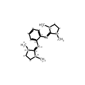 CN1CCN(C)C1=Nc1ccccc1N=C1N(C)CCN1C